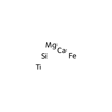 [Ca].[Fe].[Mg].[Si].[Ti]